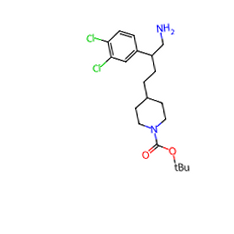 CC(C)(C)OC(=O)N1CCC(CCC(CN)c2ccc(Cl)c(Cl)c2)CC1